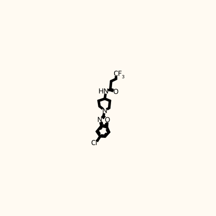 O=C(CCC(F)(F)F)NC1CCN(c2nc3cc(Cl)ccc3o2)CC1